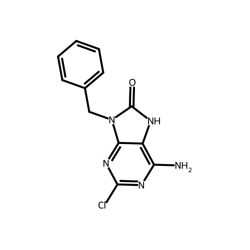 Nc1nc(Cl)nc2c1[nH]c(=O)n2Cc1ccccc1